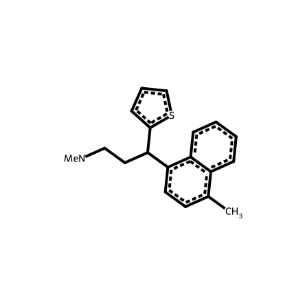 CNCCC(c1cccs1)c1ccc(C)c2ccccc12